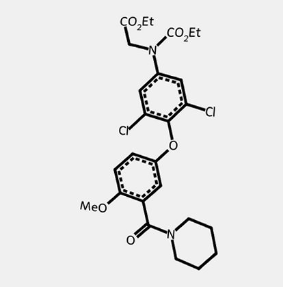 CCOC(=O)CN(C(=O)OCC)c1cc(Cl)c(Oc2ccc(OC)c(C(=O)N3CCCCC3)c2)c(Cl)c1